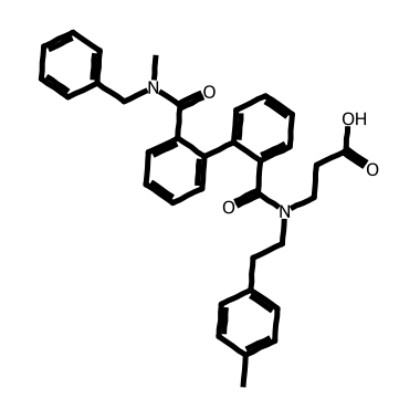 Cc1ccc(CCN(CCC(=O)O)C(=O)c2ccccc2-c2ccccc2C(=O)N(C)Cc2ccccc2)cc1